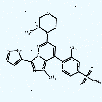 Cc1cc(S(C)(=O)=O)ccc1-c1cc(N2CCOC[C@H]2C)nn2c(-c3ccn[nH]3)nc(C)c12